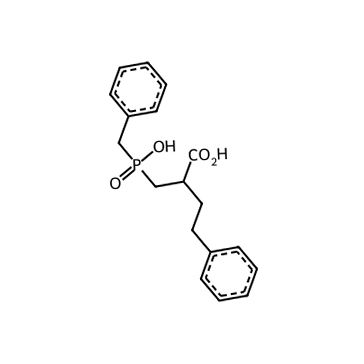 O=C(O)C(CCc1ccccc1)CP(=O)(O)Cc1ccccc1